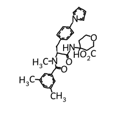 Cc1cc(C)cc(C(=O)N(C)[C@@H](Cc2ccc(-n3cccc3)cc2)C(=O)NC2(C(=O)O)CCOCC2)c1